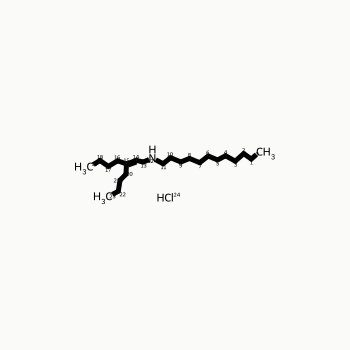 CCCCCCCCCCCCNCC=C(CCCC)CCCC.Cl